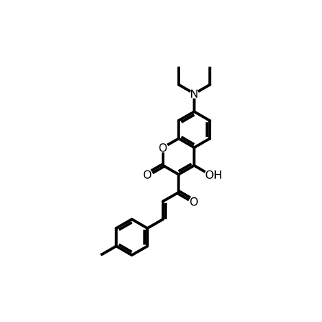 CCN(CC)c1ccc2c(O)c(C(=O)/C=C/c3ccc(C)cc3)c(=O)oc2c1